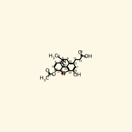 CC(=O)O[C@H]1C=CC2C3Cc4c(CCC(=O)O)cc(O)c5c4[C@@]2(CCN3C)[C@H]1O5